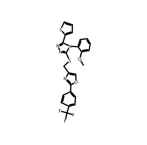 COc1ccccc1-n1c(SCc2coc(-c3ccc(C(F)(F)F)cc3)n2)nnc1-c1cccs1